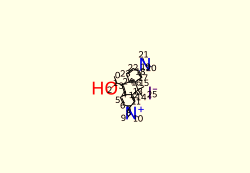 CC(O)C1=C2C=CC(=[N+](C)C)C=C2C(C)(C)c2cc(N(C)C)ccc21.[I-]